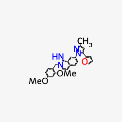 COc1ccc(Cn2ccc3ccc(-n4nc(C)cc4-c4ccco4)cc3c2=N)c(OC)c1